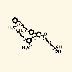 COCCCOc1cc(COC2CN(C(=O)OCCOCCON(O)O)CC[C@@H]2c2ccc(OCCCOCc3ccccc3OC)cc2)cc(OC)c1